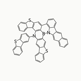 c1ccc2cc3c(cc2c1)c1cccc2c1n3B1c3cc4sc5ccccc5c4cc3N(c3ccc4sc5ccccc5c4c3)c3c1c-2cc1sc2ccccc2c31